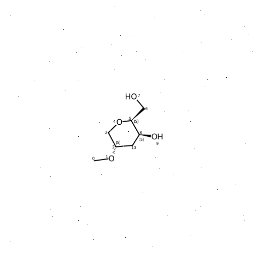 CO[C@@H]1CO[C@@H](CO)[C@@H](O)C1